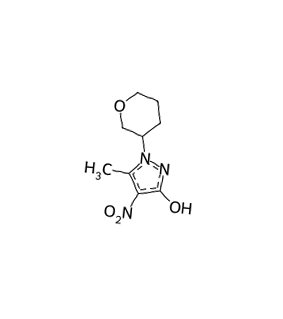 Cc1c([N+](=O)[O-])c(O)nn1C1CCCOC1